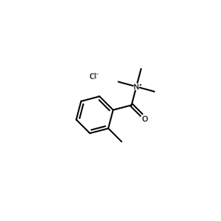 Cc1ccccc1C(=O)[N+](C)(C)C.[Cl-]